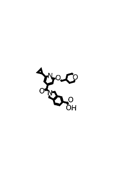 O=C(O)c1ccc2c(c1)CN(C(=O)c1cc(OCC3CCOCC3)nc(C3CC3)c1)C2